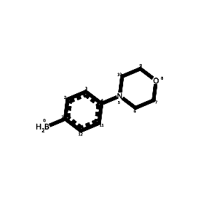 Bc1ccc(N2CCOCC2)cc1